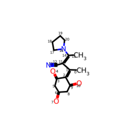 CC(=C1C(=O)CC(=O)CC1=O)/C(C#N)=C(\C)N1CCCC1